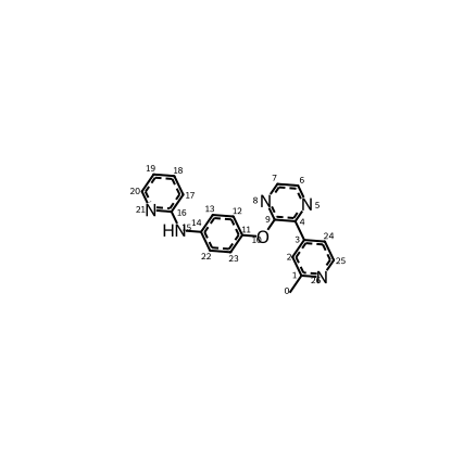 Cc1cc(-c2nccnc2Oc2ccc(Nc3ccccn3)cc2)ccn1